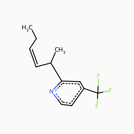 CC/C=C\C(C)c1cc(C(F)(F)F)ccn1